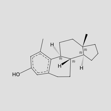 Cc1cc(O)cc2c1[C@H]1CC[C@]3(C)CCC[C@H]3[C@@H]1CC2